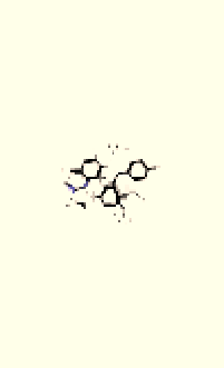 C=c1cc(OC)c(OC(C(=O)NCCOC)c2ccc(F)cc2)c/c1=c1/c(=C\N)n(C)c(=O)n1-c1ccc(C#N)cc1F